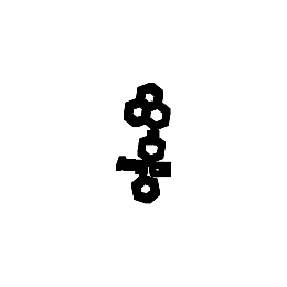 CC(=O)N(c1ccccc1)C1(C#N)CCN(C2CCc3cccc4cccc2c34)CC1